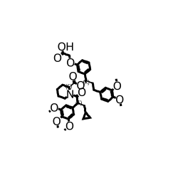 COc1ccc(CC[C@@H](OC(=O)[C@@H]2CCCCN2C(=O)[C@@H](CC2CC2)c2cc(OC)c(OC)c(OC)c2)c2cccc(OCC(=O)O)c2)cc1OC